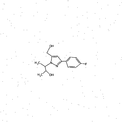 CC(O)C(C)n1nc(-c2ccc(F)cc2)cc1CO